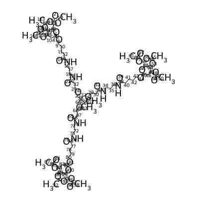 CC(=O)OC[C@H]1O[C@@H](OCCCCC(=O)NCCCNC(=O)CCOCC(COCCC(=O)NCCCNC(=O)CCCCO[C@H]2C[C@@H](OC(C)=O)[C@@H](OC(C)=O)[C@@H](COC(C)=O)O2)(COCCC(=O)NCCCNC(=O)CCCCO[C@H]2C[C@@H](OC(C)=O)[C@@H](OC(C)=O)[C@@H](COC(C)=O)O2)C(C)C)C[C@@H](OC(C)=O)[C@H]1OC(C)=O